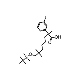 CC(C)(CCCCC(C)(C(=O)O)c1cccc(I)c1)CO[Si](C)(C)C(C)(C)C